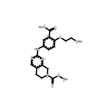 COCCOc1ccc(Nc2ncc3c(n2)CN(C(=O)OC(C)(C)C)CC3)cc1C(=O)OC